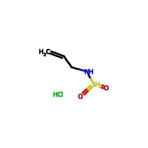 C=CCN[SH](=O)=O.Cl